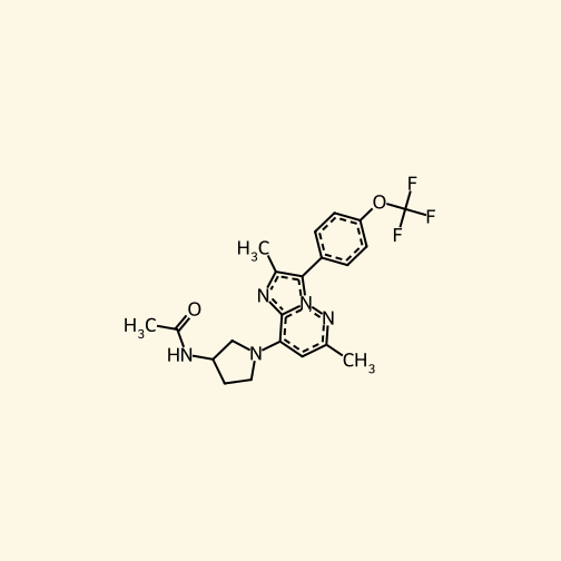 CC(=O)NC1CCN(c2cc(C)nn3c(-c4ccc(OC(F)(F)F)cc4)c(C)nc23)C1